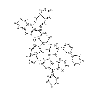 c1ccc(-c2cccc(-c3nc(-c4ccc(-n5c6cc7ccccc7cc6c6c7ccccc7ccc65)c5oc6cc7ccccc7cc6c45)nc(-c4cccc5c4c4ccccc4n5-c4ccccc4)n3)c2)cc1